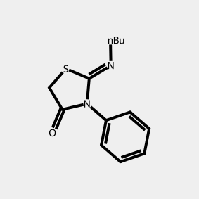 CCCC/N=C1\SCC(=O)N1c1ccccc1